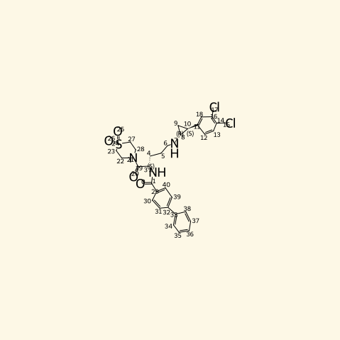 O=C(N[C@@H](CCCN[C@@H]1C[C@H]1c1ccc(Cl)c(Cl)c1)C(=O)N1CCS(=O)(=O)CC1)c1ccc(-c2ccccc2)cc1